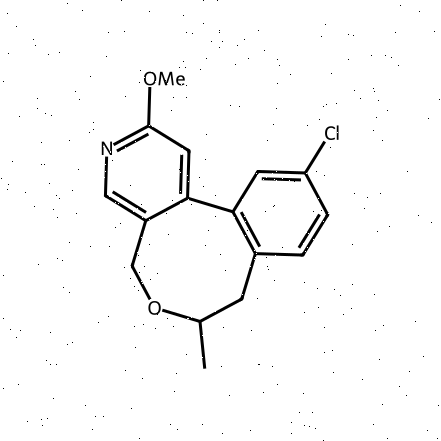 COc1cc2c(cn1)COC(C)Cc1ccc(Cl)cc1-2